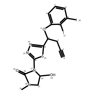 C#CCC(Oc1cccc(I)c1I)c1nnc(N2C(=O)N(C)CC2O)s1